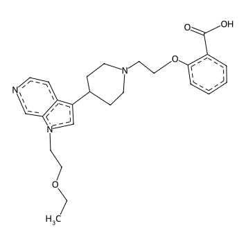 CCOCCn1cc(C2CCN(CCOc3ccccc3C(=O)O)CC2)c2ccncc21